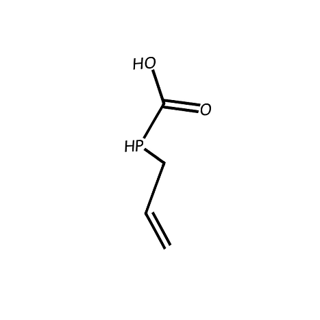 C=CCPC(=O)O